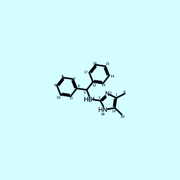 Cc1nc(BC(c2ccccc2)c2ccccc2)[nH]c1C